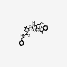 CCCC[C@H](NC(=O)O[C@@H]1CN(C(=O)NCCc2ccccc2)CC1(C)C)C(=O)C(=O)N[C@H](C)c1ccccc1